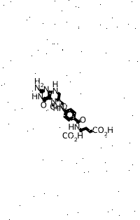 Nc1nc2c(c(=O)[nH]1)N(C=O)[C@H](CNc1ccc(C(=O)NC(CCC(=O)O)C(=O)O)cc1)CN2